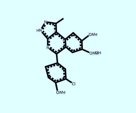 COc1ccc(-c2nc3[nH]nc(C)c3c3cc(OC)c(OC)cc23)cc1Cl.Cl